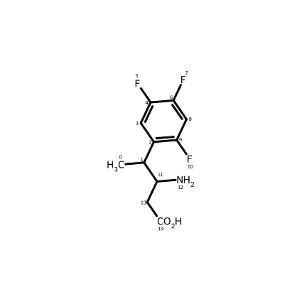 CC(c1cc(F)c(F)cc1F)C(N)CC(=O)O